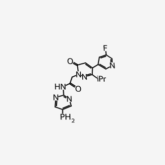 CC(C)c1nn(CC(=O)Nc2ncc(P)cn2)c(=O)cc1-c1cncc(F)c1